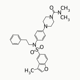 Cc1coc2ccc(S(=O)(=O)N(CCc3ccccc3)c3ccc(N4CCN(C(=O)N(C)C)CC4)cc3)cc12